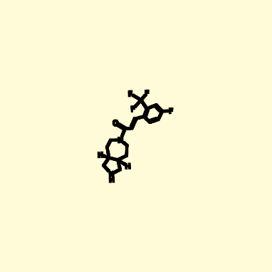 O=C(C=Cc1ccc(F)cc1C(F)(F)F)N1CC[C@@H]2CNC[C@@H]2CC1